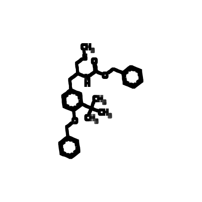 CSCC(Cc1ccc(OCc2ccccc2)c(C(C)(C)C)c1)NC(=O)OCc1ccccc1